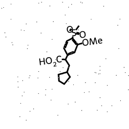 COc1cc(C(CC2CCCC2)C(=O)O)ccc1S(C)(=O)=O